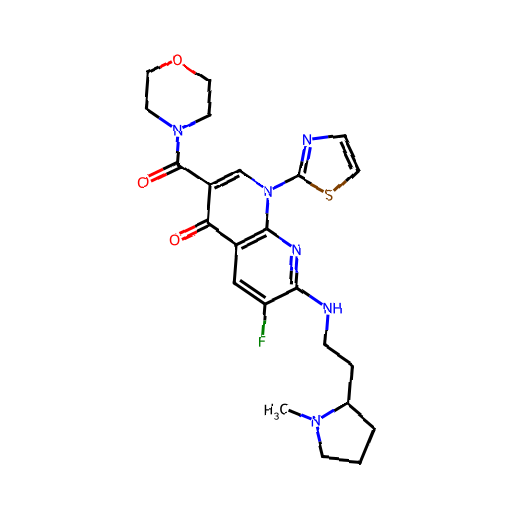 CN1CCCC1CCNc1nc2c(cc1F)c(=O)c(C(=O)N1CCOCC1)cn2-c1nccs1